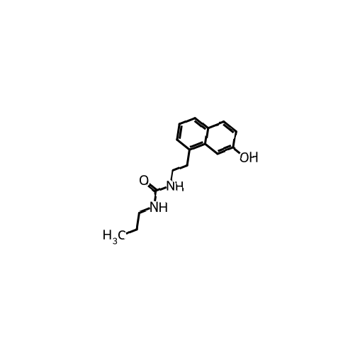 CCCNC(=O)NCCc1cccc2ccc(O)cc12